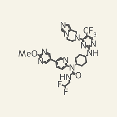 COc1ncc(-c2ccc(N(C(=O)NCC(F)F)[C@H]3CC[C@H](Nc4ncc(C(F)(F)F)c(N5CCn6cncc6C5)n4)CC3)nc2)cn1